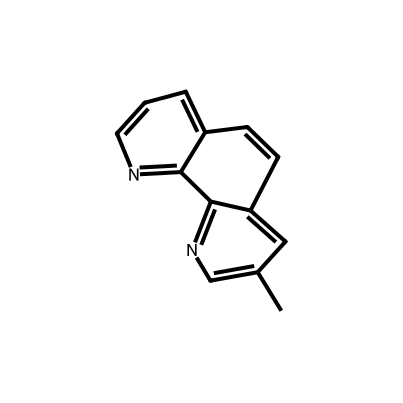 Cc1cnc2c(ccc3cccnc32)c1